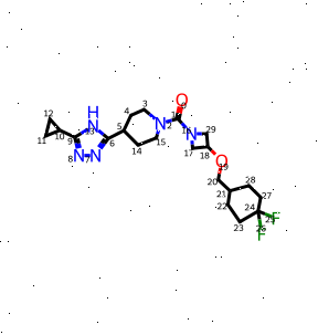 O=C(N1CCC(c2nnc(C3CC3)[nH]2)CC1)N1CC(OCC2CCC(F)(F)CC2)C1